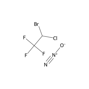 FC(F)(F)C(Cl)Br.N#[N+][O-]